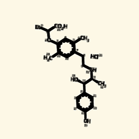 CCC(Oc1cc(C)c(CCN[C@@H](C)[C@H](O)c2ccc(O)cc2)cc1C)C(=O)O.Cl